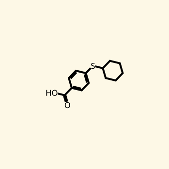 O=C(O)c1ccc(SC2CCCCC2)cc1